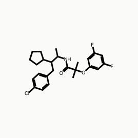 CC(NC(=O)C(C)(C)Oc1cc(F)cc(F)c1)C(Cc1ccc(Cl)cc1)C1CCCC1